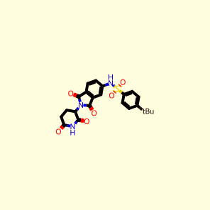 CC(C)(C)c1ccc(S(=O)(=O)Nc2ccc3c(c2)C(=O)N(C2CCC(=O)NC2=O)C3=O)cc1